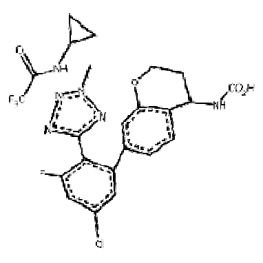 Cn1nnc(-c2c(F)cc(Cl)cc2-c2ccc3c(c2)OCCC3NC(=O)O)n1.O=C(NC1CC1)C(F)(F)F